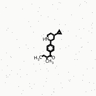 CCC(C)C(=O)c1ccc(C2CC(C3CC3)CCN2)cc1